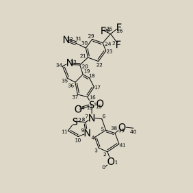 COc1ccc(CN(c2nccs2)S(=O)(=O)c2ccc3c(-c4ccc(C(F)(F)F)cc4C#N)nccc3c2)c(OC)c1